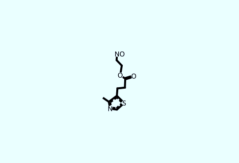 Cc1ncsc1CCC(=O)OCCN=O